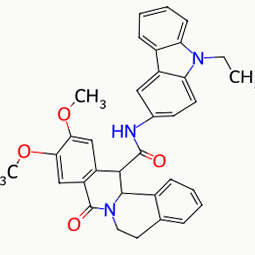 CCn1c2ccccc2c2cc(NC(=O)C3c4cc(OC)c(OC)cc4C(=O)N4CCc5ccccc5C34)ccc21